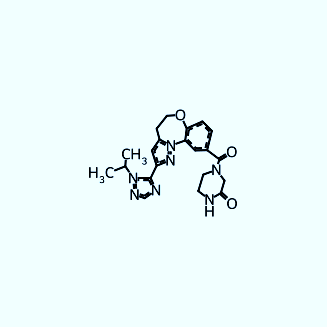 CC(C)n1ncnc1-c1cc2n(n1)-c1cc(C(=O)N3CCNC(=O)C3)ccc1OCC2